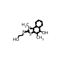 Cc1c(O)c2ccccc2c2c1s/c(=N\CCO)n2C